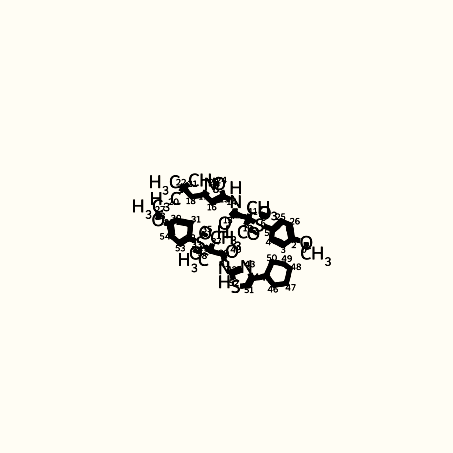 COc1ccc(S(=O)(=O)C(C)(C)C(=O)Nc2cc(CC(C)(C)C)no2)cc1.COc1ccc(S(=O)(=O)C(C)(C)C(=O)Nc2nc(C3CCCCC3)cs2)cc1